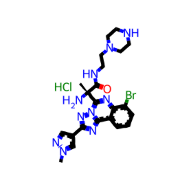 Cl.Cn1cc(-c2nc3c4cccc(Br)c4nc([C@](C)(N)C(=O)NCCN4CCNCC4)n3n2)cn1